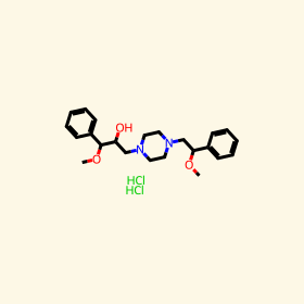 COC(CN1CCN(CC(O)C(OC)c2ccccc2)CC1)c1ccccc1.Cl.Cl